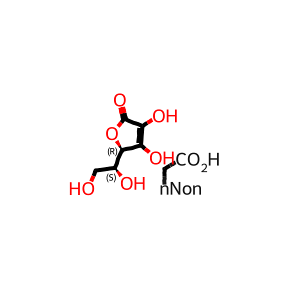 CCCCCCCCCCC(=O)O.O=C1O[C@H]([C@@H](O)CO)C(O)=C1O